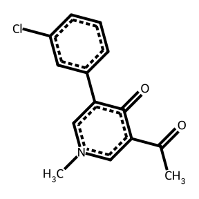 CC(=O)c1cn(C)cc(-c2cccc(Cl)c2)c1=O